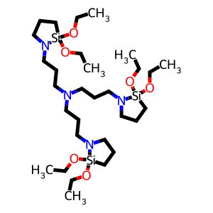 CCO[Si]1(OCC)CCCN1CCCN(CCCN1CCC[Si]1(OCC)OCC)CCCN1CCC[Si]1(OCC)OCC